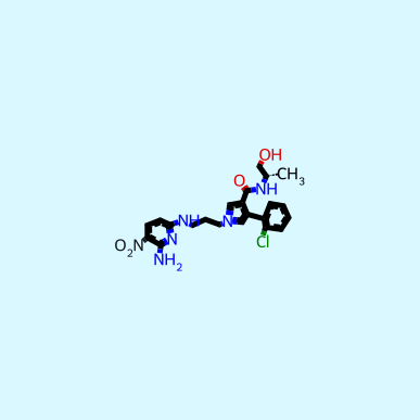 C[C@@H](CO)NC(=O)c1cn(CCCNc2ccc([N+](=O)[O-])c(N)n2)cc1-c1ccccc1Cl